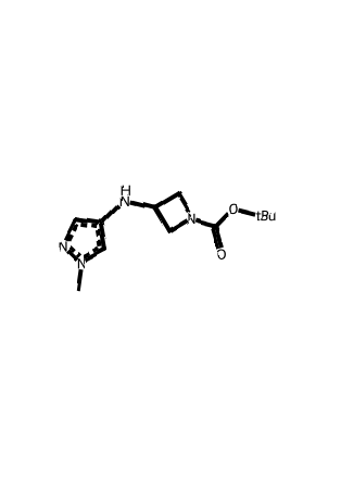 Cn1cc(NC2CN(C(=O)OC(C)(C)C)C2)cn1